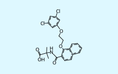 CC(C)(NC(=O)c1ccc2ccccc2c1OCCOc1cc(Cl)cc(Cl)c1)C(=O)O